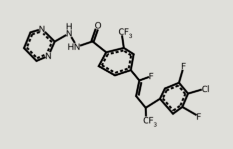 O=C(NNc1ncccn1)c1ccc(C(F)=CC(c2cc(F)c(Cl)c(F)c2)C(F)(F)F)cc1C(F)(F)F